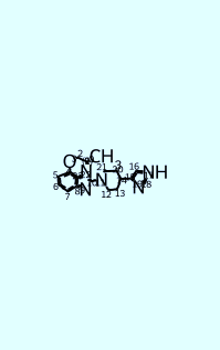 C[C@@H]1COc2cccc3nc(N4CCC(c5c[nH]cn5)CC4)n1c23